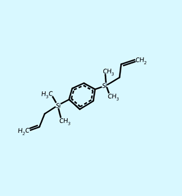 C=CC[Si](C)(C)c1ccc([Si](C)(C)CC=C)cc1